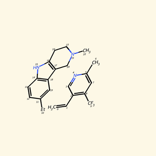 C=Cc1cnc(C)cc1C(F)(F)F.CCc1ccc2[nH]c3c(c2c1)CN(C)CC3